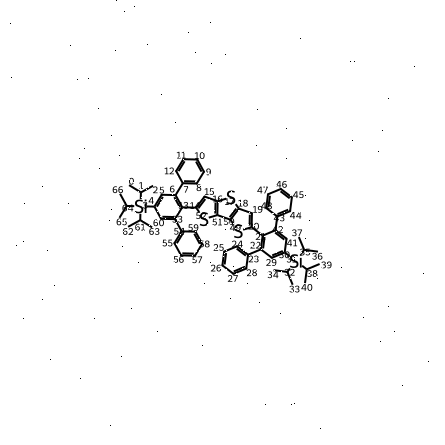 CC(C)[Si](c1cc(-c2ccccc2)c(-c2cc3sc4cc(-c5c(-c6ccccc6)cc([Si](C(C)C)(C(C)C)C(C)C)cc5-c5ccccc5)sc4c3s2)c(-c2ccccc2)c1)(C(C)C)C(C)C